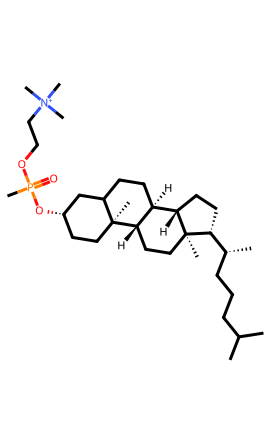 CC(C)CCC[C@@H](C)[C@H]1CC[C@H]2[C@@H]3CCC4C[C@@H](OP(C)(=O)OCC[N+](C)(C)C)CC[C@]4(C)[C@H]3CC[C@]12C